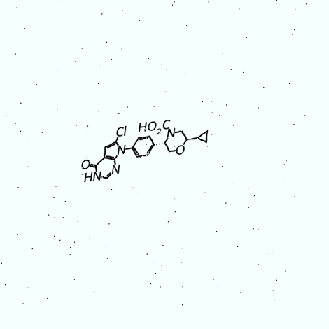 O=C(O)N1C[C@@H](C2CC2)OC[C@@H]1c1ccc(-n2c(Cl)cc3c(=O)[nH]cnc32)cc1